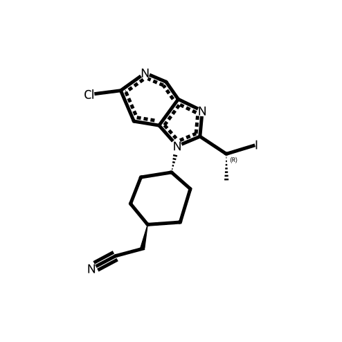 C[C@@H](I)c1nc2cnc(Cl)cc2n1[C@H]1CC[C@H](CC#N)CC1